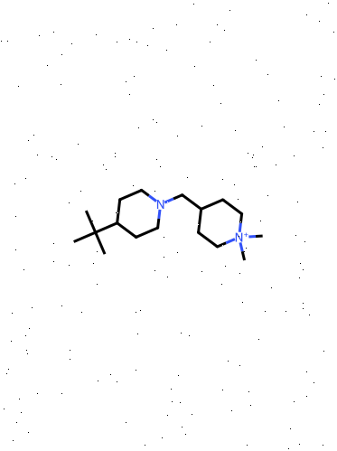 CC(C)(C)C1CCN(CC2CC[N+](C)(C)CC2)CC1